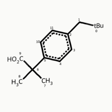 CC(C)(C)Cc1ccc(C(C)(C)C(=O)O)cc1